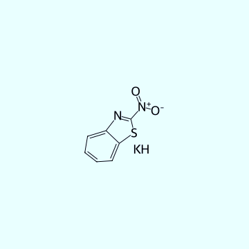 O=[N+]([O-])c1nc2ccccc2s1.[KH]